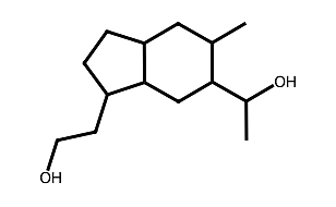 CC(O)C1CC2C(CCO)CCC2CC1C